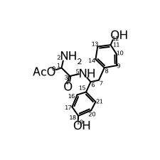 CC(=O)OC(N)C(=O)NC(Cc1ccc(O)cc1)c1ccc(O)cc1